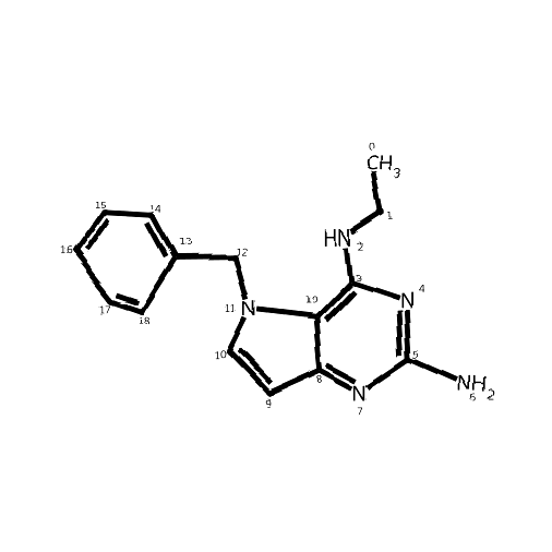 CCNc1nc(N)nc2ccn(Cc3ccccc3)c12